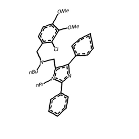 CCCCN(Cc1ccc(OC)c(OC)c1Cl)Cc1c(-c2ccccc2)nc(-c2ccccc2)n1CCC